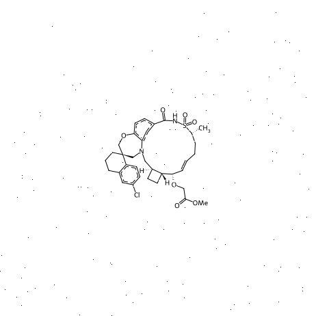 COC(=O)CO[C@H]1/C=C/CC[C@@H](C)S(=O)(=O)NC(=O)c2ccc3c(c2)N(C[C@@H]2CC[C@H]21)C[C@@]1(CCCc2cc(Cl)ccc21)CO3